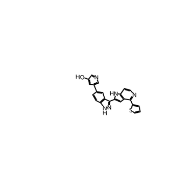 Oc1cncc(-c2ccc3[nH]nc(-c4cc5c(-c6cccs6)nccc5[nH]4)c3c2)c1